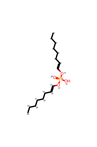 CCCCCC/C=C/OP(=O)(O)O/C=C/CCCCCC